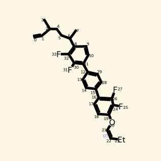 C=CC(C)CCC(C)c1ccc(-c2ccc(-c3ccc(O/C=C\CC)c(F)c3F)cc2)c(F)c1F